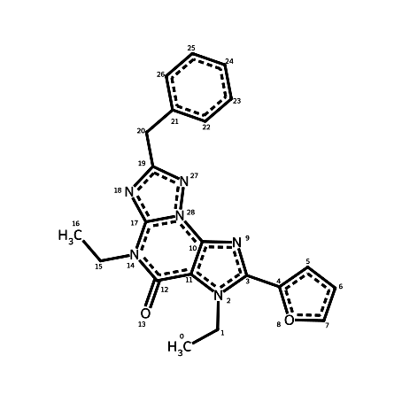 CCn1c(-c2ccco2)nc2c1c(=O)n(CC)c1nc(Cc3ccccc3)nn21